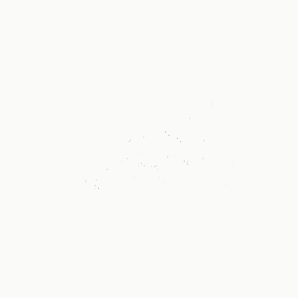 CS(=O)(=O)CC(=O)Nc1c2c(nn1CCC1CC1)C[C@]1(CCc3cc(NCC(F)(F)F)ccc31)NC2=O